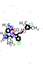 Cc1cc(OCCCc2c3n(c4cc(Cl)ccc24)C(C)[C@@H](c2c(C)nn(C)c2C)N(c2cccc4c2c(C(=O)O)nn4C)C3=O)cc(C)c1Cl